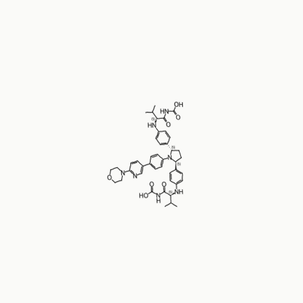 CC(C)[C@H](Nc1ccc([C@@H]2CC[C@@H](c3ccc(N[C@H](C(=O)NC(=O)O)C(C)C)cc3)N2c2ccc(-c3ccc(N4CCOCC4)nc3)cc2)cc1)C(=O)NC(=O)O